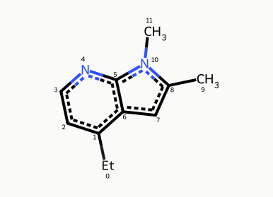 CCc1ccnc2c1cc(C)n2C